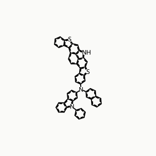 c1ccc(-n2c3ccccc3c3ccc(N(c4ccc5ccccc5c4)c4ccc5c(c4)sc4cc6[nH]c7cc8sc9ccccc9c8c8ccc(c45)c6c78)cc32)cc1